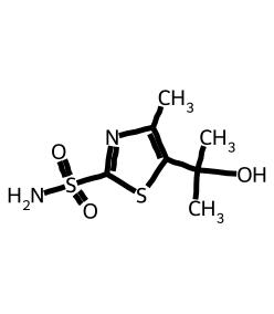 Cc1nc(S(N)(=O)=O)sc1C(C)(C)O